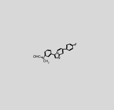 CN(C=O)c1cccc(-c2cnc3cc(-c4ccc(F)cc4)ccn23)c1